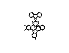 Cc1ccc2c(c1)c1ccccc1n2-c1cc(C)c(C)cc1-c1nc(-c2ccccc2)nc(-n2c3ccccc3c3ccccc32)n1